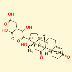 C[C@]12CCC(=O)C=C1CC[C@@H]1[C@@H]2C(=O)C[C@@]2(C)[C@H]1CC[C@]2(O)C(=O)C(O)C(CC(=O)O)C(=O)O